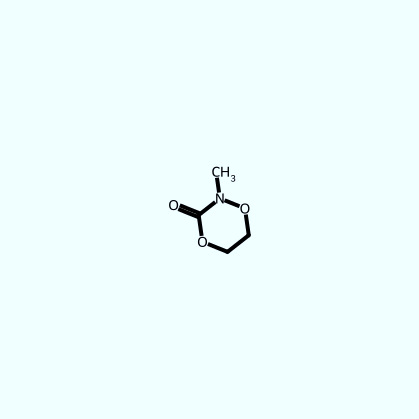 CN1OCCOC1=O